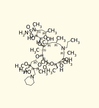 CCCN1C[C@H](C)C[C@@](C)(O)[C@H](O[C@@H]2O[C@H](C)C[C@H](N(C)S(N)(=O)=O)[C@H]2O)[C@@H](C)[C@H](O[C@H]2C[C@@](C)(OC)[C@](O)(CN3CCCCC3)[C@H](C)O2)[C@@H](C)C(=O)O[C@H](CC)[C@@](C)(O)[C@H](O)[C@H]1C